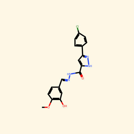 COc1ccc(/C=N/NC(=O)c2cc(-c3ccc(Cl)cc3)n[nH]2)cc1O